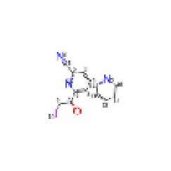 N#Cc1cccc(C(=O)CI)n1.c1ccncc1